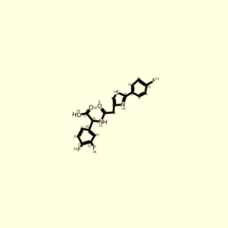 O=C(Cc1csc(-c2ccc(F)cc2)n1)NC(C(=O)O)c1ccc(F)c(F)c1